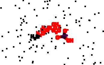 O.O.O.O.O.O.[O-][I+2]([O-])O.[SrH2]